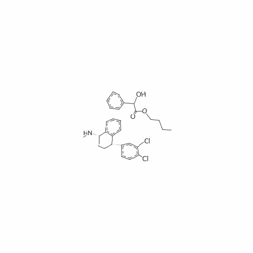 CCCCOC(=O)C(O)c1ccccc1.CN[C@H]1CC[C@@H](c2ccc(Cl)c(Cl)c2)c2ccccc21